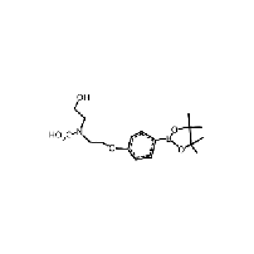 CC1(C)OB(c2ccc(OCCN(CCO)C(=O)O)cc2)OC1(C)C